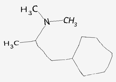 CC(CC1CCCCC1)N(C)C